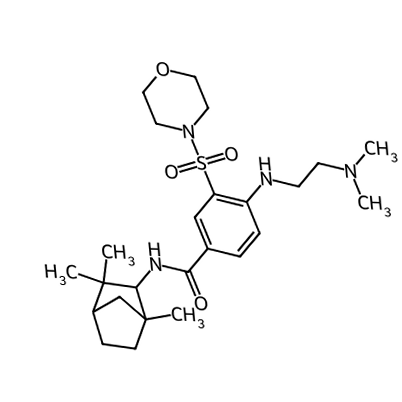 CN(C)CCNc1ccc(C(=O)NC2C3(C)CCC(C3)C2(C)C)cc1S(=O)(=O)N1CCOCC1